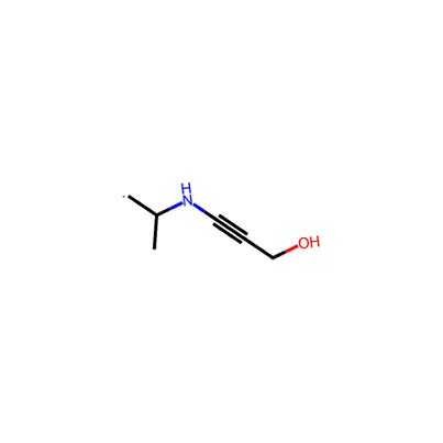 [CH2]C(C)NC#CCO